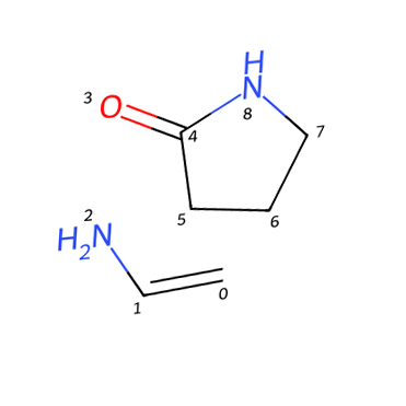 C=CN.O=C1CCCN1